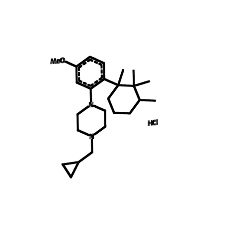 COc1ccc(C2(C)CCCC(C)C2(C)C)c(N2CCN(CC3CC3)CC2)c1.Cl